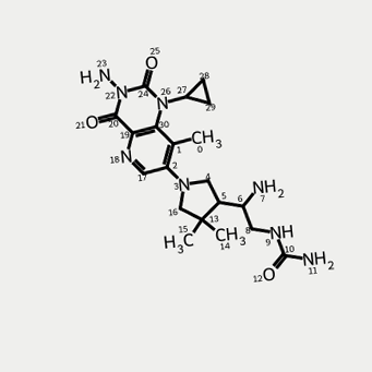 Cc1c(N2CC(C(N)CNC(N)=O)C(C)(C)C2)cnc2c(=O)n(N)c(=O)n(C3CC3)c12